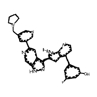 Oc1cc(F)cc(-c2ccnc3[nH]c(-c4n[nH]c5cnc(-c6cncc(CN7CCCC7)c6)cc45)cc23)c1